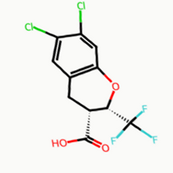 O=C(O)[C@@H]1Cc2cc(Cl)c(Cl)cc2O[C@@H]1C(F)(F)F